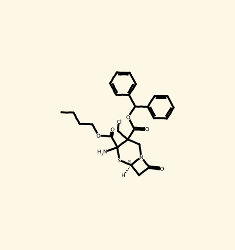 CCCCOC(=O)C1(N)S[C@@H]2CC(=O)N2CC1(CCl)C(=O)OC(c1ccccc1)c1ccccc1